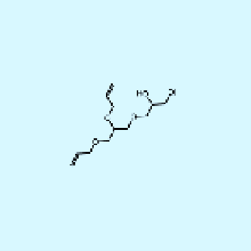 C=CCOCC(COCC(O)CO)OCC=C